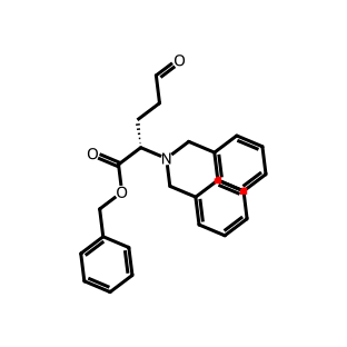 O=CCC[C@@H](C(=O)OCc1ccccc1)N(Cc1ccccc1)Cc1ccccc1